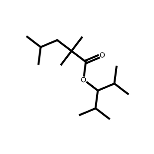 CC(C)CC(C)(C)C(=O)OC(C(C)C)C(C)C